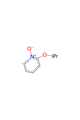 CC(C)Oc1ccc[c][n+]1[O-]